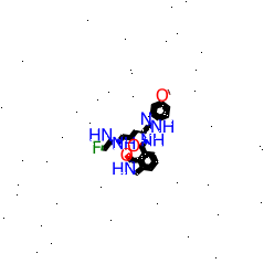 COc1ccc2[nH]c([C@H](CCCNC(=N)CF)NC(=O)c3cccc4c3C(=O)NC4)nc2c1